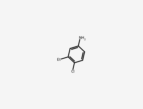 CCc1cc(N)ccc1Cl